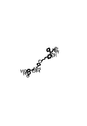 CC(C)N(CC[C@H](c1ccccc1)c1cc(CCCCOc2ccc(CCNC[C@H](O)c3ccc(O)c4[nH]c(=O)ccc34)cc2)ccc1O)C(C)C